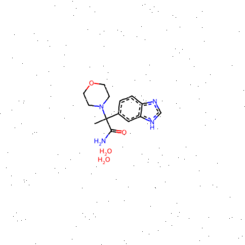 CC(C(N)=O)(c1ccc2nc[nH]c2c1)N1CCOCC1.O.O